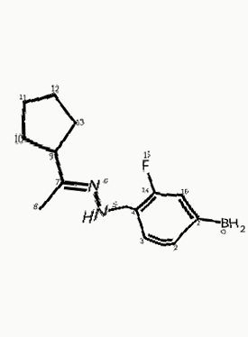 Bc1ccc(N/N=C(\C)C2CCCC2)c(F)c1